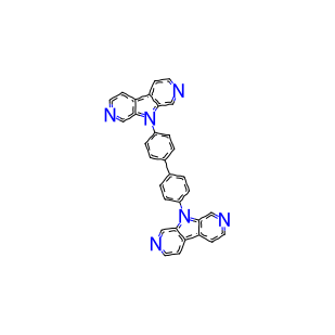 c1cc2c3ccncc3n(-c3ccc(-c4ccc(-n5c6cnccc6c6ccncc65)cc4)cc3)c2cn1